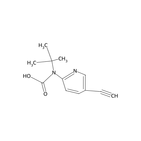 C#Cc1ccc(N(C(=O)O)C(C)(C)C)nc1